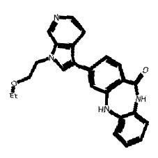 CCOCCn1cc(-c2ccc3c(c2)Nc2ccccc2NC3=O)c2ccncc21